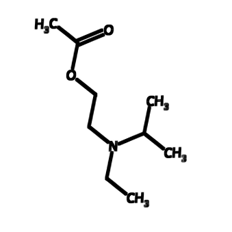 CCN(CCOC(C)=O)C(C)C